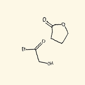 CCC(=O)CO.O=C1CCCO1